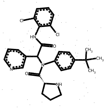 CC(C)(C)c1ccc(N(C(=O)[C@H]2CCCN2)C(C(=O)Nc2c(Cl)cccc2Cl)c2cccnc2)cc1